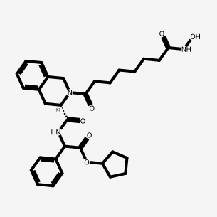 O=C(CCCCCCC(=O)N1Cc2ccccc2C[C@H]1C(=O)NC(C(=O)OC1CCCC1)c1ccccc1)NO